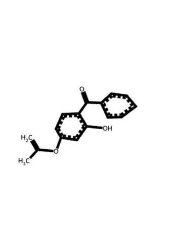 C=C(C)Oc1ccc(C(=O)c2ccccc2)c(O)c1